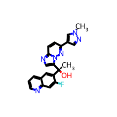 Cn1cc(-c2ccc3ncc([C@](C)(O)c4cc5cccnc5cc4F)n3n2)cn1